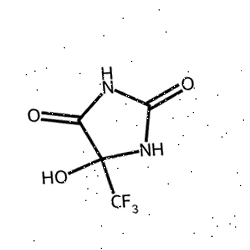 O=C1NC(=O)C(O)(C(F)(F)F)N1